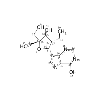 C#C[C@]1(CO)O[C@@H](n2cnc3c(O)ncnc32)[C@@H](CC)[C@@H]1O